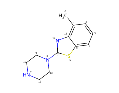 Cc1cccc2sc(N3CCNCC3)nc12